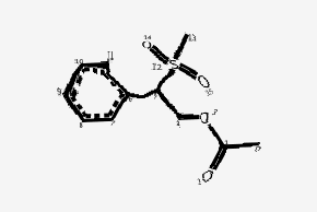 CC(=O)OCC(c1ccccc1)S(C)(=O)=O